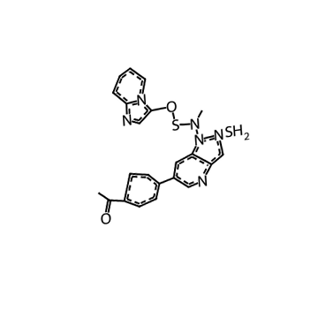 CC(=O)c1ccc(-c2cnc3cnn(N(C)SOc4cnc5ccccn45)c3c2)cc1.S